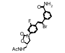 CC(=O)NC[C@H]1CN(c2ccc(/C=C(\Br)c3cccc(C(N)=O)c3)c(F)c2)C(=O)O1